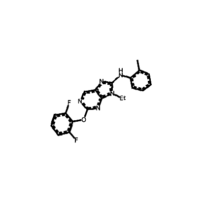 CCn1c(Nc2ccccc2C)nc2cnc(Oc3c(F)cccc3F)nc21